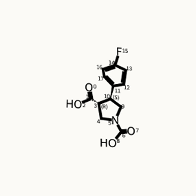 O=C(O)[C@H]1CN(C(=O)O)C[C@@H]1c1ccc(F)cc1